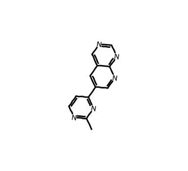 Cc1nccc(-c2cnc3ncncc3c2)n1